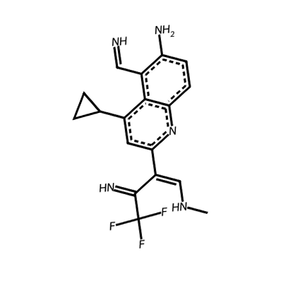 CN/C=C(\C(=N)C(F)(F)F)c1cc(C2CC2)c2c(C=N)c(N)ccc2n1